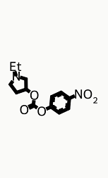 CCN1CCC(OC(=O)Oc2ccc([N+](=O)[O-])cc2)C1